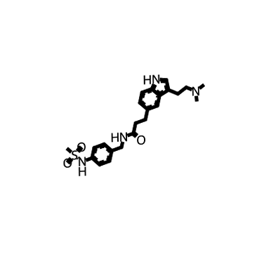 CN(C)CCc1c[nH]c2ccc(CCC(=O)NCc3ccc(NS(C)(=O)=O)cc3)cc12